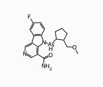 COCC1CCCC1[AsH]n1c2ccc(F)cc2c2cncc(C(N)=O)c21